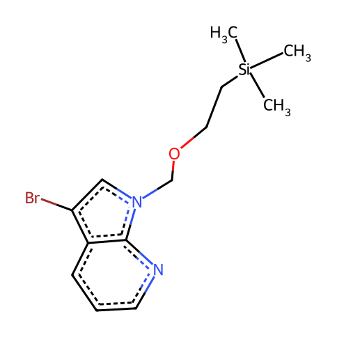 C[Si](C)(C)CCOCn1cc(Br)c2cccnc21